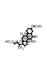 CC[C@@H]1C2C[C@H](OC=O)CCC2(C)[C@H]2CCC3(C)C([C@H](C)CCC(=O)O)CC[C@H]3[C@@H]2[C@@H]1O